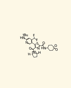 CC(C)(C)Nc1cc(C(F)F)c(-c2sc(C(=O)NC3CCS(=O)(=O)CC3)nc2C(=O)N2[C@H]3CC[C@H]2CC3)cn1